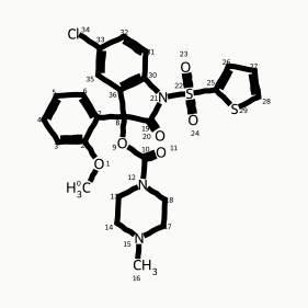 COc1ccccc1C1(OC(=O)N2CCN(C)CC2)C(=O)N(S(=O)(=O)c2cccs2)c2ccc(Cl)cc21